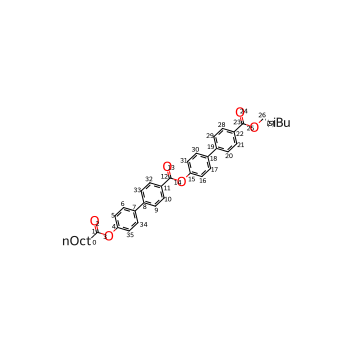 CCCCCCCCC(=O)Oc1ccc(-c2ccc(C(=O)Oc3ccc(-c4ccc(C(=O)OC[C@@H](C)CC)cc4)cc3)cc2)cc1